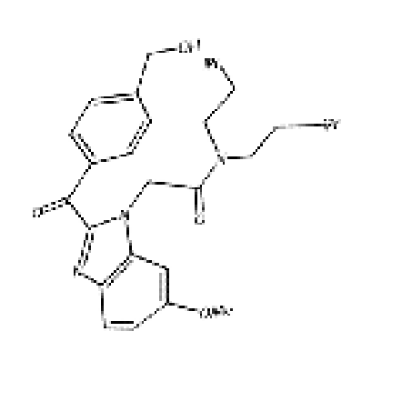 COc1ccc2nc(C(=O)c3ccc(CO)cc3)n(CC(=O)N(CCC(C)C)CCC(C)C)c2c1